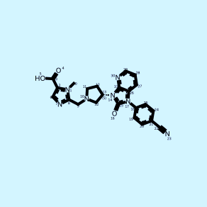 Cn1c(C(=O)O)cnc1CN1CC[C@H](n2c(=O)n(-c3ccc(C#N)cc3)c3cccnc32)C1